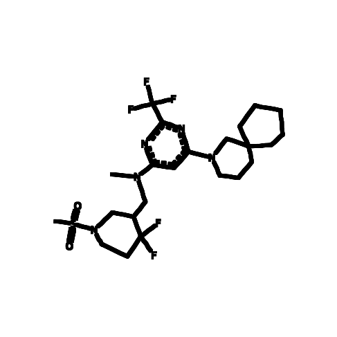 CN(CC1CN(S(C)(=O)=O)CCC1(F)F)c1cc(N2CCCC3(CCCCC3)C2)nc(C(F)(F)F)n1